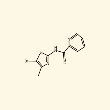 Cc1nc(NC(=O)c2ccccn2)sc1Br